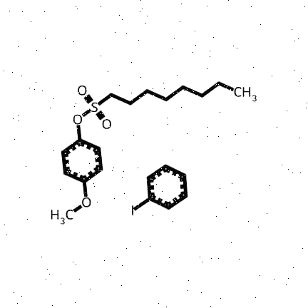 CCCCCCCCS(=O)(=O)Oc1ccc(OC)cc1.Ic1ccccc1